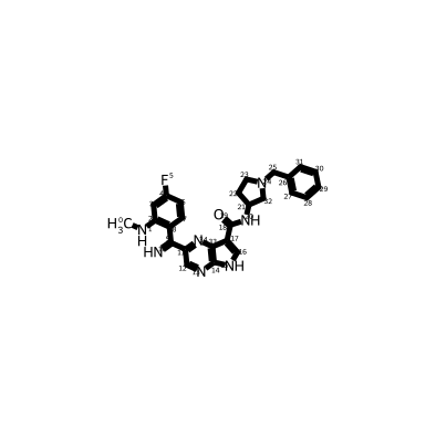 CNc1cc(F)ccc1C(=N)c1cnc2[nH]cc(C(=O)NC3CCN(Cc4ccccc4)C3)c2n1